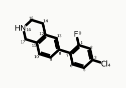 Fc1cc(Cl)ccc1-c1ccc2c(c1)CCNC2